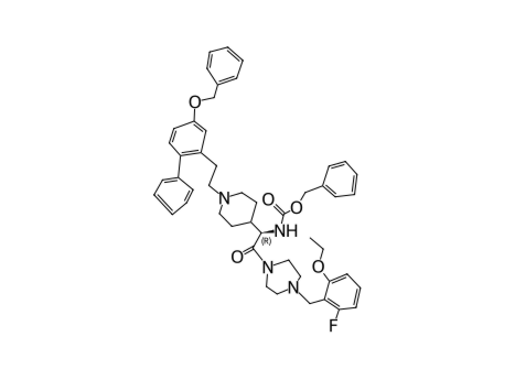 CCOc1cccc(F)c1CN1CCN(C(=O)[C@H](NC(=O)OCc2ccccc2)C2CCN(CCc3cc(OCc4ccccc4)ccc3-c3ccccc3)CC2)CC1